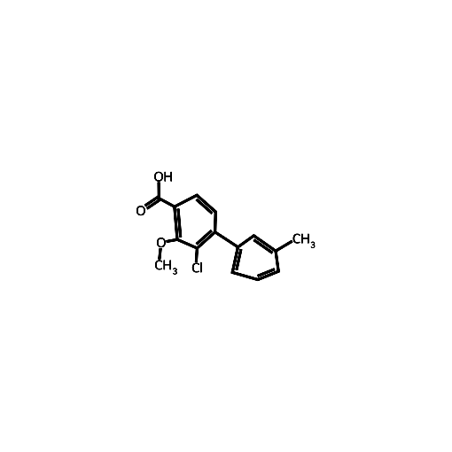 COc1c(C(=O)O)ccc(-c2cccc(C)c2)c1Cl